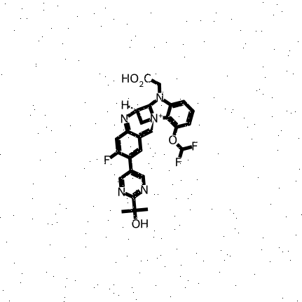 CC(C)(O)c1ncc(-c2cc3c(cc2F)=N[C@@H]2C[N@@+]4(C=3)c3c(OC(F)F)cccc3N(CC(=O)O)C24)cn1